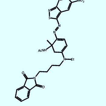 CCN(CCCCN1C(=O)c2ccccc2C1=O)C1=CC=C(/N=N/c2snc3ccc([N+](=O)[O-])cc23)C(C)(NC(C)=O)C1